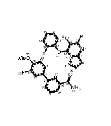 CCc1c(C)nc2ccnn2c1Oc1ccccc1F.COc1ccc(-c2cccc(C(N)=O)n2)cc1F